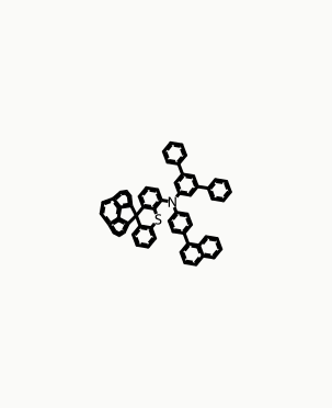 c1ccc(-c2cc(-c3ccccc3)cc(N(c3ccc(-c4cccc5ccccc45)cc3)c3cccc4c3Sc3ccccc3C43c4cccc5ccc6cccc3c6c45)c2)cc1